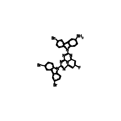 Bc1ccc2c(c1)c1cc(Br)ccc1n2C1=NC2=NC(n3c4ccc(Br)cc4c4cc(Br)ccc43)=NC3=CC(F)=CC(=N1)N32